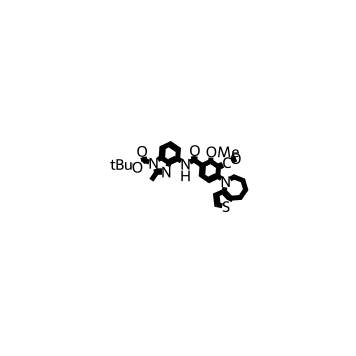 COC1C(=C=O)C(N2CCCCc3sccc32)=CC=C1C(=O)Nc1cccc2c1nc(C)n2C(=O)OC(C)(C)C